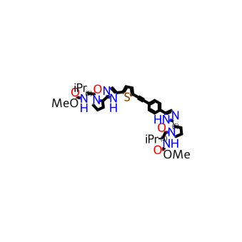 COC(=O)N[C@H](C(=O)N1CCCC1c1ncc(-c2ccc(C#Cc3ccc(-c4cnc([C@@H]5CCCN5C(=O)[C@@H](NC(=O)OC)C(C)C)[nH]4)cc3)s2)[nH]1)C(C)C